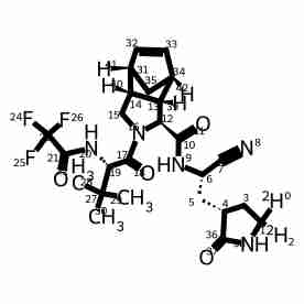 [2H]C1([2H])C[C@@H](C[C@@H](C#N)NC(=O)[C@@H]2[C@@H]3[C@H](CN2C(=O)[C@@H](NC(=O)C(F)(F)F)C(C)(C)C)[C@@H]2C=C[C@H]3C2)C(=O)N1